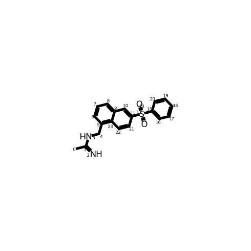 CC(=N)NCc1cccc2cc(S(=O)(=O)c3ccccc3)ccc12